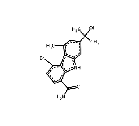 Cc1cc(C(C)(C)O)cc2[nH]c3c(C(N)=O)ccc(Br)c3c12